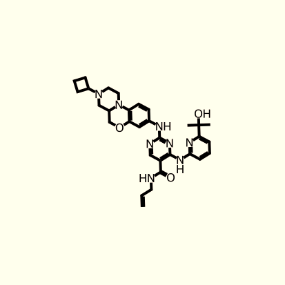 C=CCNC(=O)c1cnc(Nc2ccc3c(c2)OCC2CN(C4CCC4)CCN32)nc1Nc1cccc(C(C)(C)O)n1